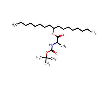 CCCCCCCCC(CCCCCCCC)OC(=O)C(C)NC(=O)OC(C)(C)C